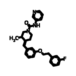 CC1CN(C(=O)Nc2cccnc2)CC/C1=C\c1cccc(OCCc2cccc(F)c2)c1